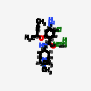 CC#CC(C)Oc1cc(N)c(Cl)cc1C(=O)NC1CC2CN(C)CC(C1)N2C.Cl.Cl